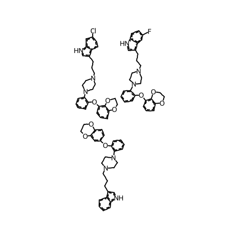 Clc1ccc2c(CCCN3CCN(c4ccccc4Oc4cccc5c4OCCO5)CC3)c[nH]c2c1.Fc1ccc2[nH]cc(CCCN3CCN(c4ccccc4Oc4cccc5c4OCCO5)CC3)c2c1.c1ccc(N2CCN(CCCc3c[nH]c4ccccc34)CC2)c(Oc2ccc3c(c2)OCCO3)c1